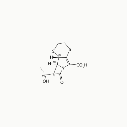 C[C@@H](O)[C@H]1C(=O)N2C(C(=O)O)=C3SCCS[C@H]3[C@H]12